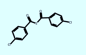 O=C(SC(=O)c1ccc(Cl)cc1)c1ccc(Cl)cc1